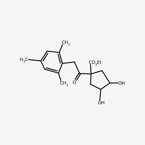 CCOC(=O)C1(C(=O)Cc2c(C)cc(C)cc2C)CC(O)C(O)C1